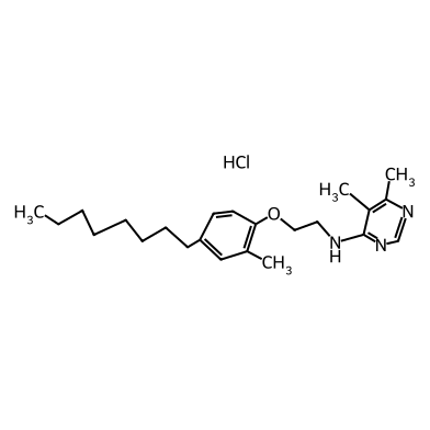 CCCCCCCCc1ccc(OCCNc2ncnc(C)c2C)c(C)c1.Cl